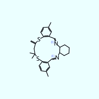 C=C1CC(C)(C)Sc2ccc(C)cc2/C=N/C2CCCCC2/N=C/c2cc(C)ccc2S1